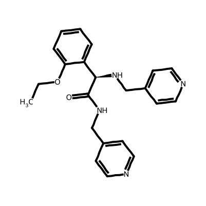 CCOc1ccccc1[C@@H](NCc1ccncc1)C(=O)NCc1ccncc1